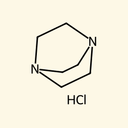 C1CN2CCN1CC2.Cl